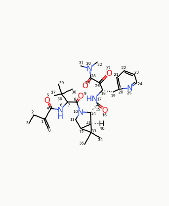 C=C(CC)C(=O)NC(C(=O)N1CC2[C@@H]([C@H]1C(=O)N[C@@H](Cc1ccccn1)C(=O)C(=O)N(C)C)C2(C)C)C(C)(C)C